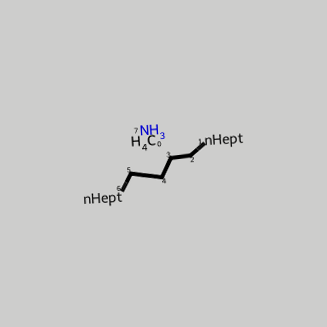 C.CCCCCCCCCCCCCCCCCC.N